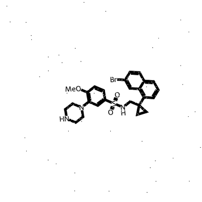 COc1ccc(S(=O)(=O)NCC2(c3cccc4ccc(Br)cc34)CC2)cc1N1CCNCC1